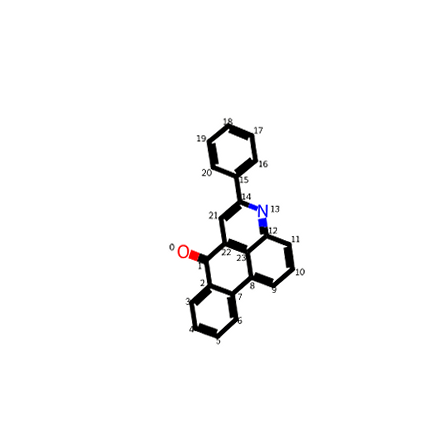 O=C1c2ccccc2-c2cccc3nc(-c4ccccc4)cc1c23